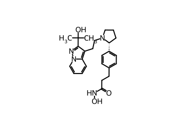 CC(C)(O)c1nn2ccccc2c1CCN1CCC[C@@H]1c1ccc(CCC(=O)NO)cc1